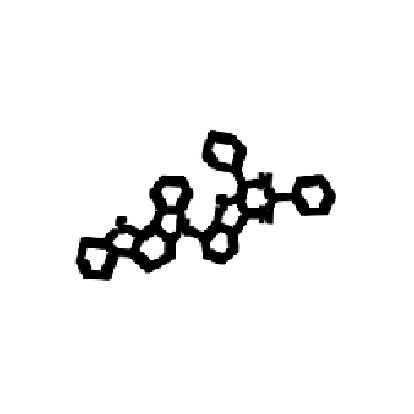 c1ccc(-c2nc(-c3ccccc3)c3sc4c(-n5c6ccccc6c6c7sc8ccccc8c7ccc65)cccc4c3n2)cc1